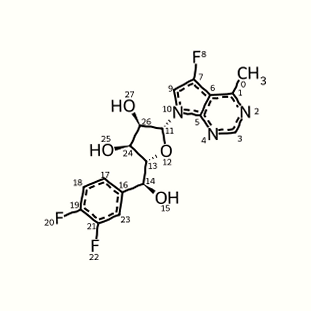 Cc1ncnc2c1c(F)cn2[C@@H]1O[C@H]([C@@H](O)c2ccc(F)c(F)c2)[C@@H](O)[C@H]1O